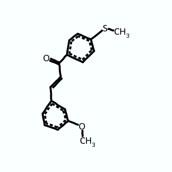 COc1cccc(C=CC(=O)c2ccc(SC)cc2)c1